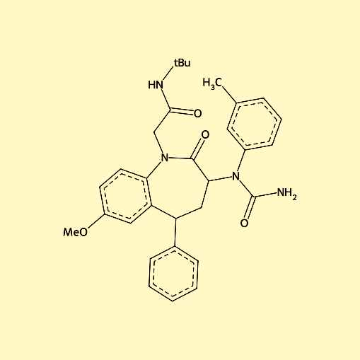 COc1ccc2c(c1)C(c1ccccc1)CC(N(C(N)=O)c1cccc(C)c1)C(=O)N2CC(=O)NC(C)(C)C